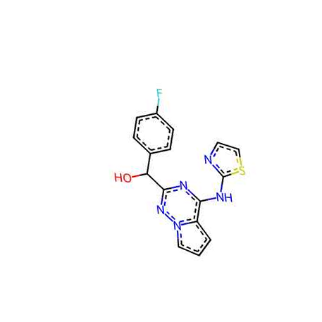 OC(c1ccc(F)cc1)c1nc(Nc2nccs2)c2cccn2n1